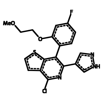 COCCOc1cc(F)ccc1-c1c(-c2cn[nH]c2)nc(Cl)c2ccsc12